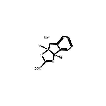 O=C([O-])C1=N[C@H]2c3ccccc3C[C@H]2O1.[Na+]